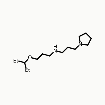 CCC(CC)OCCCNCCCN1CCCC1